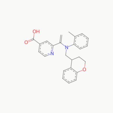 C=C(c1cc(C(=O)O)ccn1)N(CC1CCOc2ccccc21)c1ccccc1C